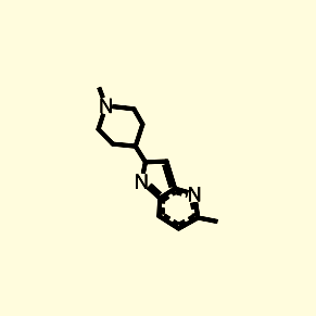 Cc1ccc2c(n1)=CC(C1CCN(C)CC1)N=2